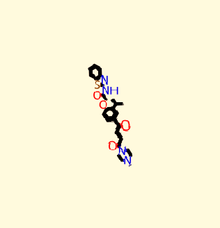 CC(C)c1cc(C(=O)C=CC(=O)N2CCN(C)CC2)ccc1OCC(=O)Nc1nc2ccccc2s1